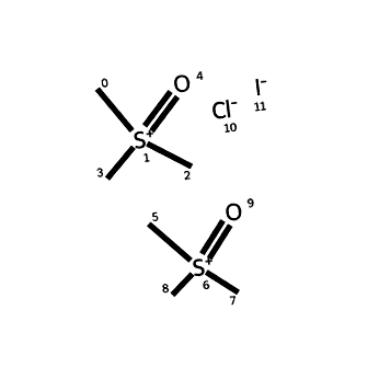 C[S+](C)(C)=O.C[S+](C)(C)=O.[Cl-].[I-]